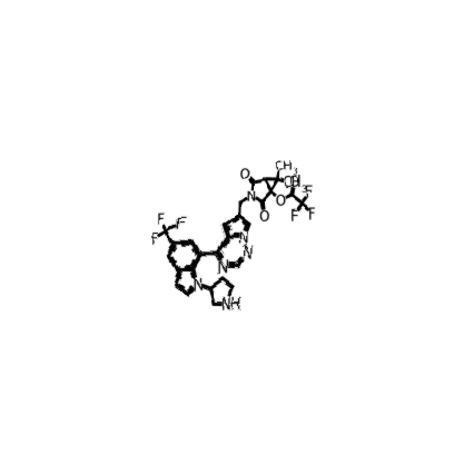 CC1(C)C2C(=O)N(Cc3cc4c(-c5cc(C(F)(F)F)cc6ccn(C7CCNC7)c56)ncnn4c3)C(=O)C21OC(=O)C(F)(F)F